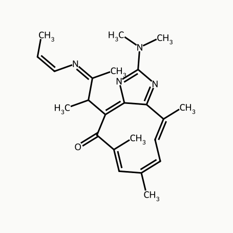 C/C=C\N=C(\C)C(C)/C1=C2\N=C(N(C)C)N=C2/C(C)=C/C=C(C)\C=C(/C)C1=O